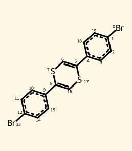 Brc1ccc(C2=CSC(c3ccc(Br)cc3)=CS2)cc1